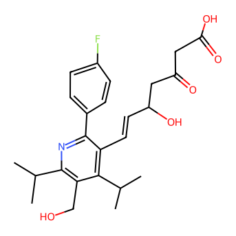 CC(C)c1nc(-c2ccc(F)cc2)c(C=CC(O)CC(=O)CC(=O)O)c(C(C)C)c1CO